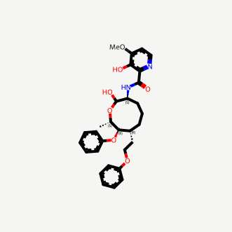 COc1ccnc(C(=O)N[C@H]2CCC[C@H](CCOc3ccccc3)[C@@H](Oc3ccccc3)[C@H](C)OC2O)c1O